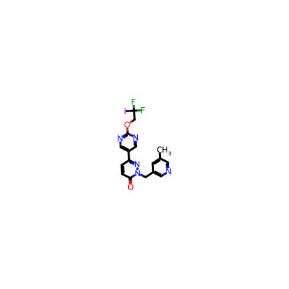 Cc1cncc(Cn2nc(-c3cnc(OCC(F)(F)I)nc3)ccc2=O)c1